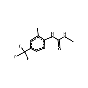 CNC(=O)Nc1ccc(C(F)(F)F)cc1C